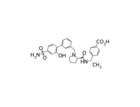 C[C@H](NC(=O)[C@H]1CCCN1Cc1cccc(-c2ccc(S(N)(=O)=O)cc2O)c1)c1ccc(C(=O)O)cc1